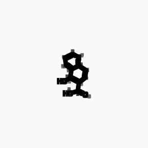 O=C(O)c1ccc2ncccc2c1O